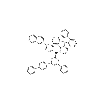 c1ccc(-c2ccc(-c3cc(-c4ccccc4)cc(N(c4ccc(-c5ccc6ccccc6c5)cc4)c4cccc5c4-c4ccccc4C54c5ccccc5-c5ccccc54)c3)cc2)cc1